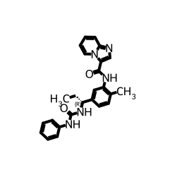 CC[C@@H](NC(=O)Nc1ccccc1)c1ccc(C)c(NC(=O)c2cnc3ccccn23)c1